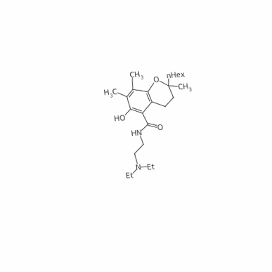 CCCCCCC1(C)CCc2c(c(C)c(C)c(O)c2C(=O)NCCN(CC)CC)O1